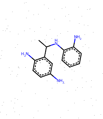 CC(Nc1ccccc1N)c1cc(N)ccc1N